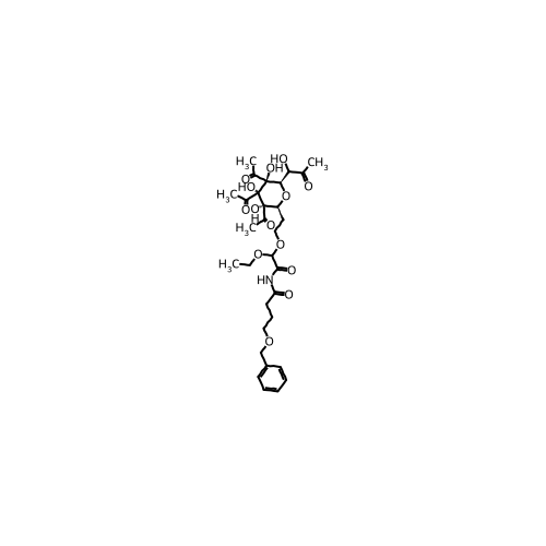 CCOC(OCC[C@@H]1O[C@H](C(O)C(C)=O)[C@@](O)(C(C)=O)[C@@](O)(C(C)=O)[C@]1(O)C(C)=O)C(=O)NC(=O)CCCOCc1ccccc1